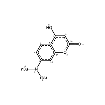 CCCCN(CCCC)c1ccc2c(O)cc(=O)oc2c1